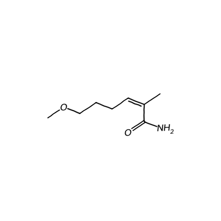 COCCCC=C(C)C(N)=O